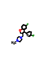 CN1CCN(CC2=C(c3ccc(F)cc3)c3cc(F)ccc3OC2)CC1